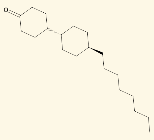 CCCCCCCC[C@H]1CC[C@H](C2CCC(=O)CC2)CC1